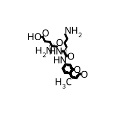 Cc1cc(=O)oc2cc(NC(=O)[C@H](CCCCN)NC(=O)[C@@H](N)CCC(=O)O)ccc12